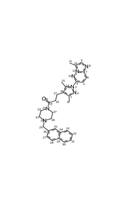 Cc1nn(-c2ccc3ncc(C)n3n2)c(C)c1CCC(=O)N1CCN(Cc2ccc3ccccc3c2)CC1